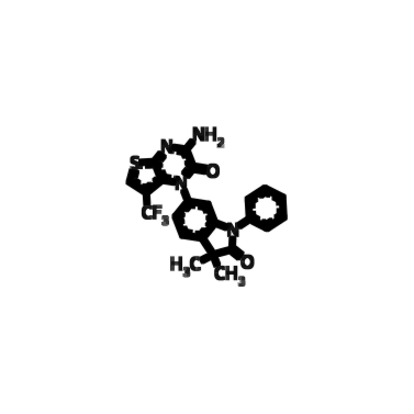 CC1(C)C(=O)N(c2ccccc2)c2cc(-n3c(=O)c(N)nc4scc(C(F)(F)F)c43)ccc21